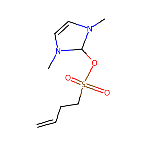 C=CCCS(=O)(=O)OC1N(C)C=CN1C